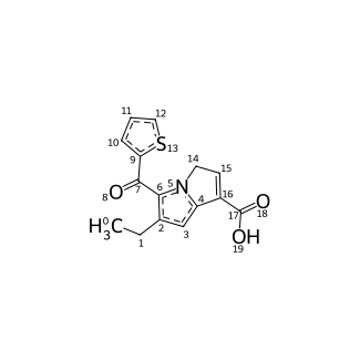 CCc1cc2n(c1C(=O)c1cccs1)CC=C2C(=O)O